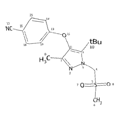 Cc1nn(CS(C)(=O)=O)c(C(C)(C)C)c1Oc1ccc(C#N)cc1